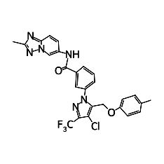 Cc1ccc(OCc2c(Cl)c(C(F)(F)F)nn2-c2cccc(C(=O)Nc3ccc4nc(C)nn4c3)c2)cc1